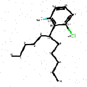 CCCCCC(CCCCC)c1c(F)cccc1Cl